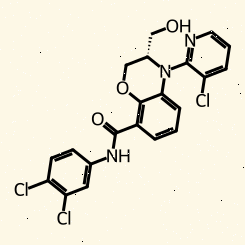 O=C(Nc1ccc(Cl)c(Cl)c1)c1cccc2c1OC[C@H](CO)N2c1ncccc1Cl